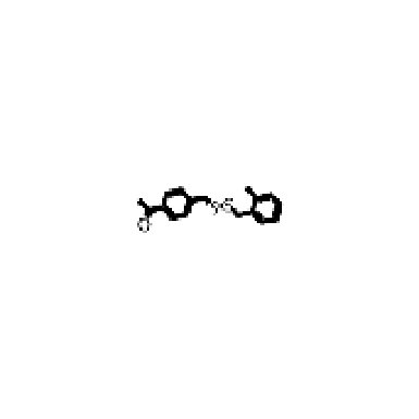 CC(=O)c1ccc(CSSCc2ccccc2C)cc1